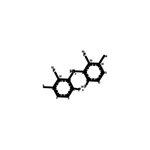 Cc1ccc(F)c(Bc2c(F)ccc(C)c2F)c1F